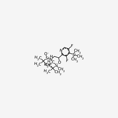 CC(C)(C)[S+]([O-])NCC(O[Si](C)(C)C(C)(C)C)c1ncc(F)c([Si](C)(C)C)c1F